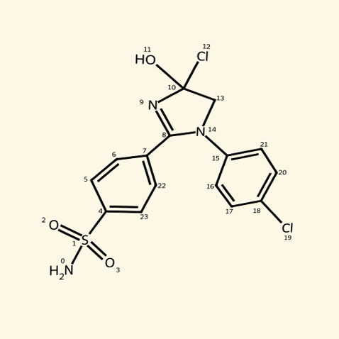 NS(=O)(=O)c1ccc(C2=NC(O)(Cl)CN2c2ccc(Cl)cc2)cc1